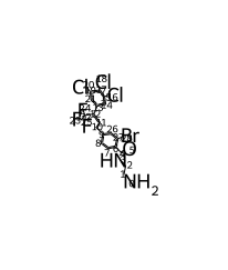 NCCNC(=O)c1ccc(CC=C(c2cc(Cl)c(Cl)c(Cl)c2)C(F)(F)F)cc1Br